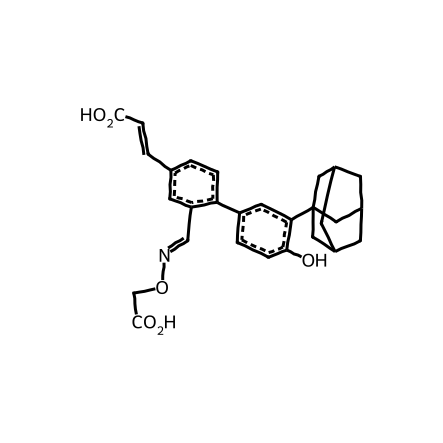 O=C(O)C=Cc1ccc(-c2ccc(O)c(C34CC5CC(CC(C5)C3)C4)c2)c(C=NOCC(=O)O)c1